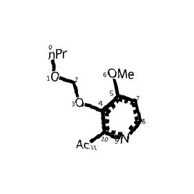 CCCOCOc1c(OC)ccnc1C(C)=O